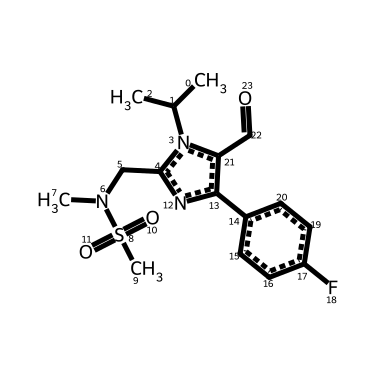 CC(C)n1c(CN(C)S(C)(=O)=O)nc(-c2ccc(F)cc2)c1C=O